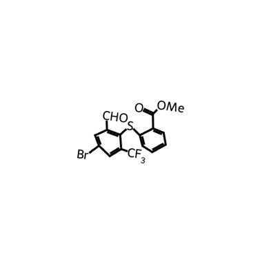 COC(=O)c1ccccc1Sc1c(C=O)cc(Br)cc1C(F)(F)F